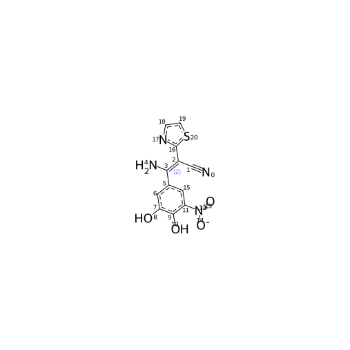 N#C/C(=C(/N)c1cc(O)c(O)c([N+](=O)[O-])c1)c1nccs1